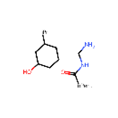 CC(C)C1CCCC(O)C1.CCCCCC(=O)NCN